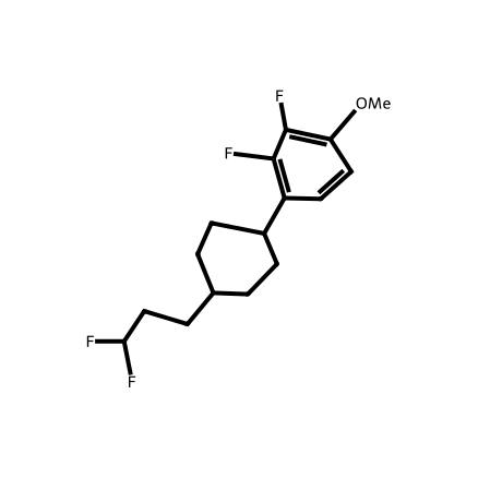 COc1ccc(C2CCC(CCC(F)F)CC2)c(F)c1F